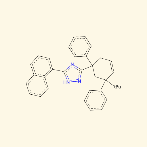 CC(C)(C)C1(c2ccccc2)C=CCC(c2ccccc2)(c2n[nH]c(-c3cccc4ccccc34)n2)C1